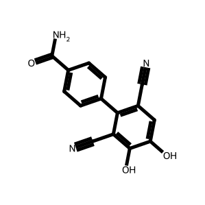 N#Cc1cc(O)c(O)c(C#N)c1-c1ccc(C(N)=O)cc1